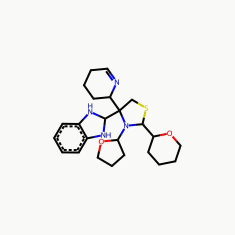 C1=NC(C2(C3Nc4ccccc4N3)CS[C](C3CCCCO3)N2C2CCCO2)CCC1